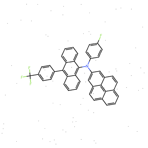 Fc1ccc(N(c2cc3ccc4cccc5ccc(c2)c3c45)c2c3ccccc3c(-c3ccc(C(F)(F)F)cc3)c3ccccc23)cc1